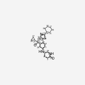 O=c1ccc(Nc2ccc(-c3cnc(C4CCCCC4)s3)c(S(=O)(=O)C3CC3)c2)c[nH]1